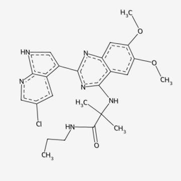 CCCNC(=O)C(C)(C)Nc1nc(-c2c[nH]c3ncc(Cl)cc23)nc2cc(OC)c(OC)cc12